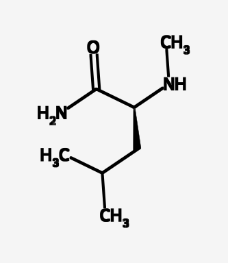 CN[C@@H](CC(C)C)C(N)=O